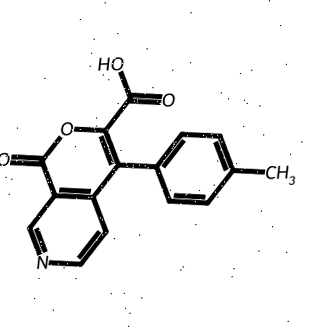 Cc1ccc(-c2c(C(=O)O)oc(=O)c3cnccc23)cc1